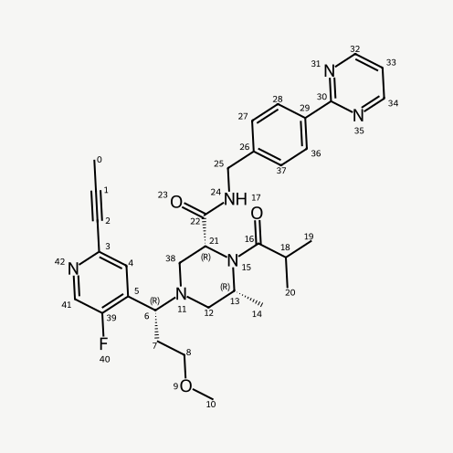 CC#Cc1cc([C@@H](CCOC)N2C[C@@H](C)N(C(=O)C(C)C)[C@@H](C(=O)NCc3ccc(-c4ncccn4)cc3)C2)c(F)cn1